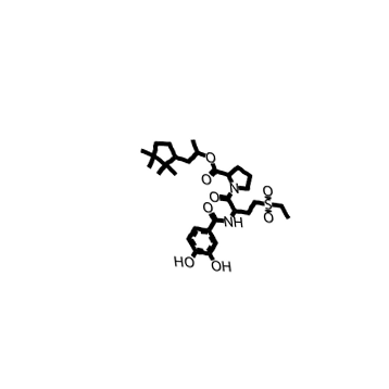 CCS(=O)(=O)CCC(NC(=O)c1ccc(O)c(O)c1)C(=O)N1CCCC1C(=O)OC(C)CC1CCC(C)(C)C1(C)C